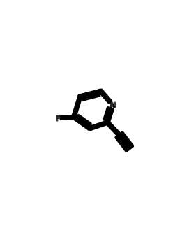 C#Cc1cc(F)ccn1